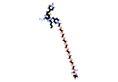 CCCCc1nc2c(N)nc3cc(C4CCN(C)CC4)sc3c2n1CC1CCN(CCOCCOCCOCCOCCOCCOCCOCCOCCNC(=O)OC(C)(C)C)CC1